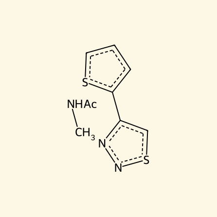 CNC(C)=O.c1csc(-c2csnn2)c1